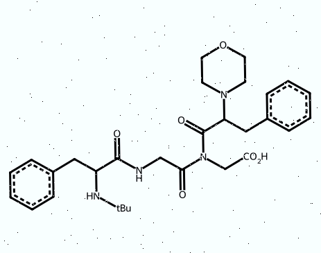 CC(C)(C)NC(Cc1ccccc1)C(=O)NCC(=O)N(CC(=O)O)C(=O)C(Cc1ccccc1)N1CCOCC1